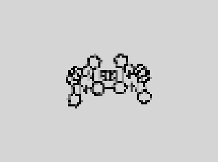 N#Cc1c(-c2ccc(-n3c4ccccc4c4ccccc43)c(-n3c4ccccc4c4ccccc43)c2C#N)ccc(-n2c3ccccc3c3ccccc32)c1-n1c2ccccc2c2ccccc21